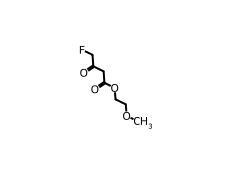 COCCOC(=O)CC(=O)CF